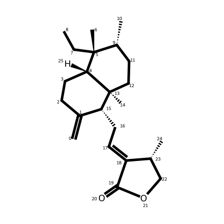 C=C1CC[C@@H]2[C@](C)(CC)[C@H](C)CC[C@@]2(C)[C@@H]1C/C=C1/C(=O)OC[C@H]1C